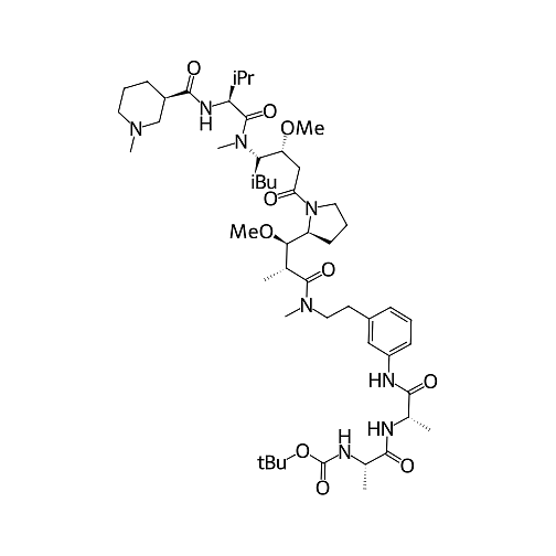 CC[C@H](C)[C@@H]([C@@H](CC(=O)N1CCC[C@H]1[C@H](OC)[C@@H](C)C(=O)N(C)CCc1cccc(NC(=O)[C@H](C)NC(=O)[C@H](C)NC(=O)OC(C)(C)C)c1)OC)N(C)C(=O)[C@@H](NC(=O)[C@@H]1CCCN(C)C1)C(C)C